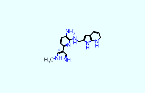 CN/C=C(\C=N)c1ccc(N)c(NCc2cc3c([nH]2)NCC=C3)n1